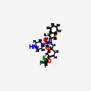 Cc1c(N(CC2C=CC(OC(F)(F)F)=CC2)S(=O)(=O)N2CCNCC2)sc2ccccc12